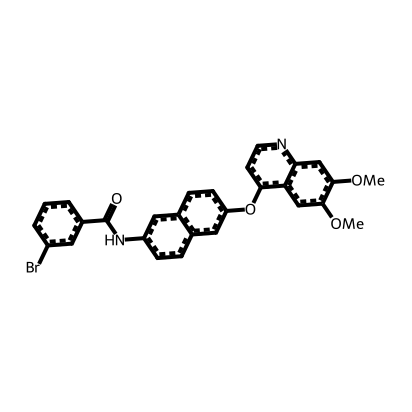 COc1cc2nccc(Oc3ccc4cc(NC(=O)c5cccc(Br)c5)ccc4c3)c2cc1OC